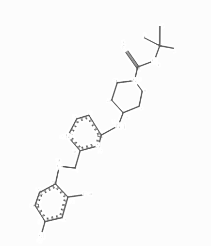 CC(C)(C)OC(=O)N1CCC(Nc2ccnc(COc3ccc(Cl)cc3F)n2)CC1